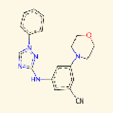 N#Cc1cc(Nc2ncn(-c3ccccc3)n2)cc(N2CCOCC2)c1